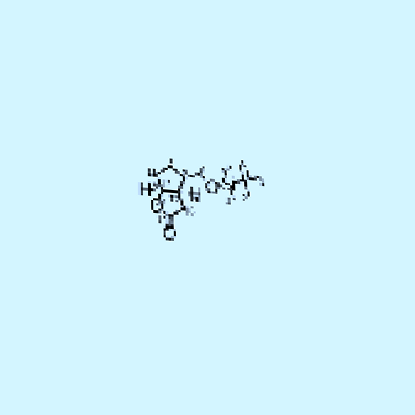 CC(C)(C)[Si](C)(C)OC[C@@H]1CC[C@@H]2OC(=O)C[C@H]12